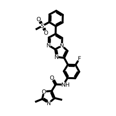 Cc1nc(C)c(C(=O)Nc2ccc(F)c(-c3cn4cc(-c5ccccc5S(C)(=O)=O)cnc4n3)c2)o1